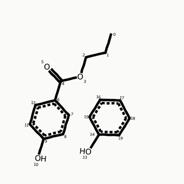 CCCOC(=O)c1ccc(O)cc1.Oc1ccccc1